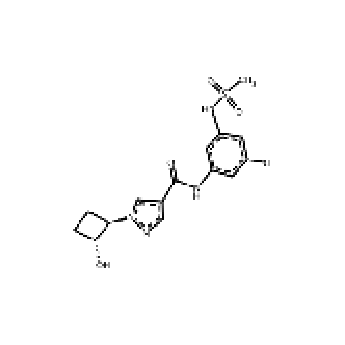 CS(=O)(=O)Nc1cc(Cl)cc(NC(=O)c2cnn([C@@H]3CC[C@H]3O)c2)c1